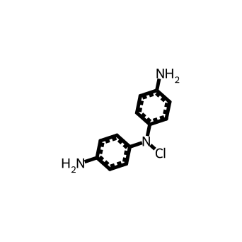 Nc1ccc(N(Cl)c2ccc(N)cc2)cc1